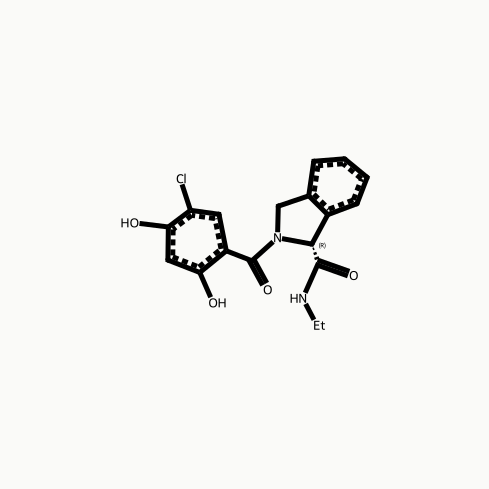 CCNC(=O)[C@H]1c2ccccc2CN1C(=O)c1cc(Cl)c(O)cc1O